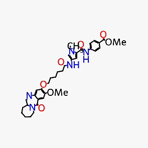 COC(=O)c1ccc(NC(=O)c2cc(NC(=O)CCCCCOc3cc4c(cc3OC)C(=O)N3CCCCCC3C=N4)cn2C)cc1